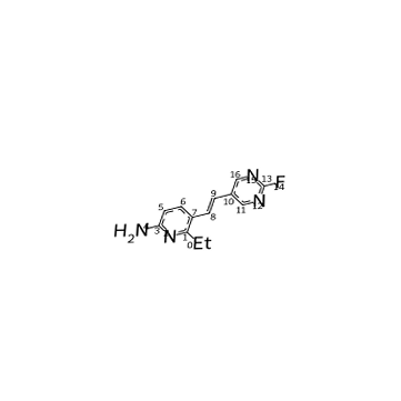 CCc1nc(N)ccc1/C=C/c1cnc(F)nc1